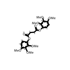 COc1ccc(OC(=O)CCC(=O)Oc2ccc(OC)c(OC)c2OC)c(OC)c1OC